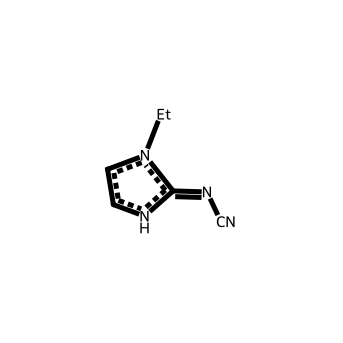 CCn1cc[nH]c1=NC#N